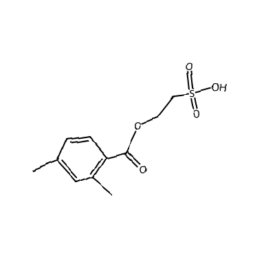 Cc1ccc(C(=O)OCCS(=O)(=O)O)c(C)c1